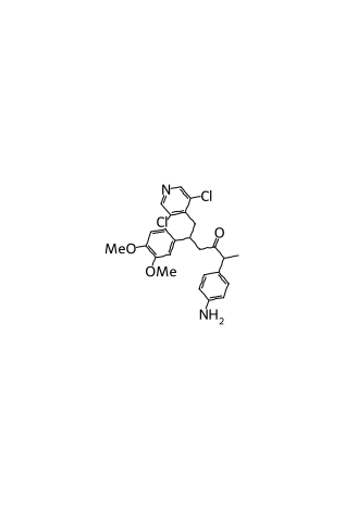 COc1ccc(C(CC(=O)C(C)c2ccc(N)cc2)Cc2c(Cl)cncc2Cl)cc1OC